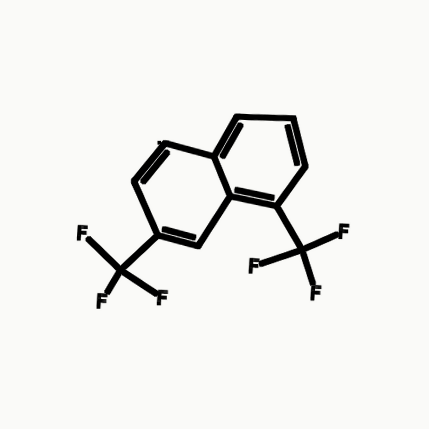 FC(F)(F)c1c[c]c2cccc(C(F)(F)F)c2c1